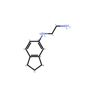 NCCNc1ccc2c(c1)CCC2